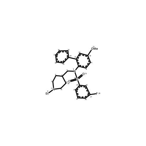 CCN1CCC(CN(c2ccc(OC)cc2-c2ccccc2)S(=O)(=O)c2cccc(F)c2)CC1